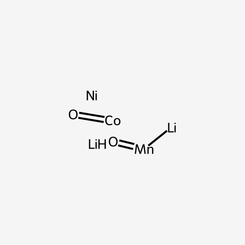 [LiH].[Li][Mn]=[O].[Ni].[O]=[Co]